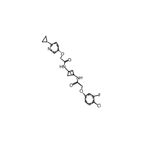 O=C(COc1ccc(C2CC2)nc1)NC12CC(NC(=O)COc3ccc(Cl)c(F)c3)(C1)C2